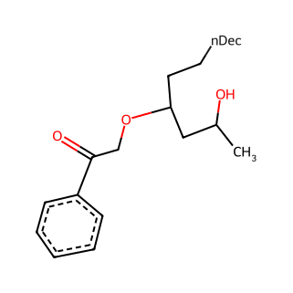 CCCCCCCCCCCCC(CC(C)O)OCC(=O)c1ccccc1